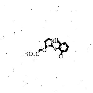 O=C(O)CON1CCN/C1=N\c1c(Cl)cccc1Cl